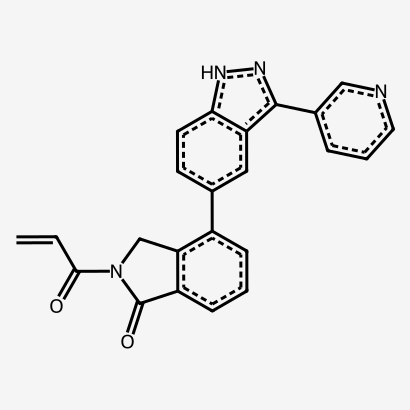 C=CC(=O)N1Cc2c(cccc2-c2ccc3[nH]nc(-c4cccnc4)c3c2)C1=O